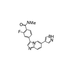 CNC(=O)c1ccc(-c2cnc3ccc(C4=CBN=C4)cn23)cc1F